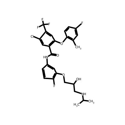 Cc1cc(F)ccc1Oc1cc(C(F)(F)F)c(Cl)cc1C(=O)Nc1ccc(F)c(OCC(O)CNC(C)C)c1